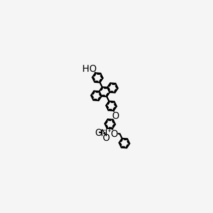 O=[N+]([O-])c1ccc(Oc2ccc(-c3c4ccccc4c(-c4ccc(O)cc4)c4ccccc34)cc2)cc1OCc1ccccc1